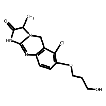 CC1C(=O)NC2=Nc3ccc(OCCCO)c(Cl)c3CN21